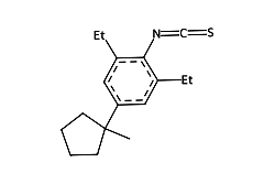 CCc1cc(C2(C)CCCC2)cc(CC)c1N=C=S